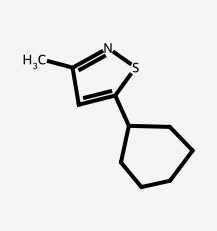 Cc1cc(C2CCCCC2)sn1